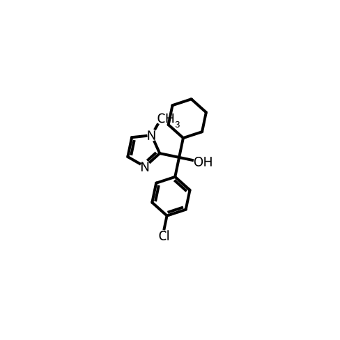 Cn1ccnc1C(O)(c1ccc(Cl)cc1)C1CCCCC1